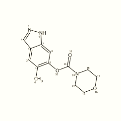 Cc1cc2cn[nH]c2cc1OC(=O)N1CCOCC1